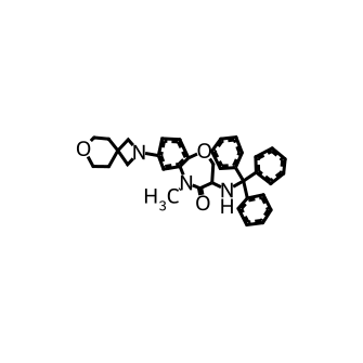 CN1C(=O)C(NC(c2ccccc2)(c2ccccc2)c2ccccc2)COc2ccc(N3CC4(CCOCC4)C3)cc21